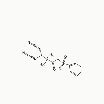 CC(C)(C(=O)CS(=O)(=O)c1ccccc1)C(N=[N+]=[N-])N=[N+]=[N-]